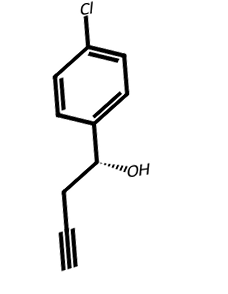 C#CC[C@@H](O)c1ccc(Cl)cc1